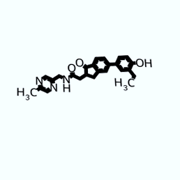 CCc1cc(-c2ccc3c(c2)CC(CC(=O)NCc2cnc(C)cn2)C3=O)ccc1O